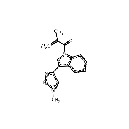 C=C(C)C(=O)n1cc(-c2cn(C)nn2)c2ccccc21